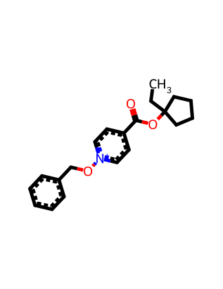 CCC1(OC(=O)c2cc[n+](OCc3ccccc3)cc2)CCCC1